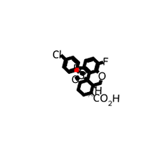 O=C(O)[C@@H]1CCCC2(S(=O)(=O)c3ccc(Cl)cc3)c3c(F)ccc(F)c3OC[C@@H]12